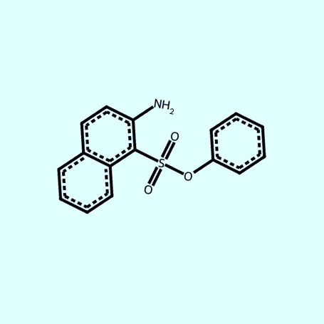 Nc1ccc2ccccc2c1S(=O)(=O)Oc1ccccc1